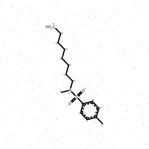 Cc1ccc(S(=O)(=O)N(C)CCCCCCCC(=O)O)cc1